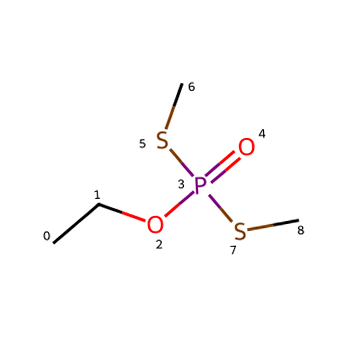 CCOP(=O)(SC)SC